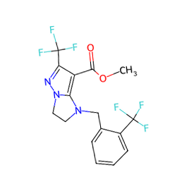 COC(=O)c1c(C(F)(F)F)nn2c1N(Cc1ccccc1C(F)(F)F)CC2